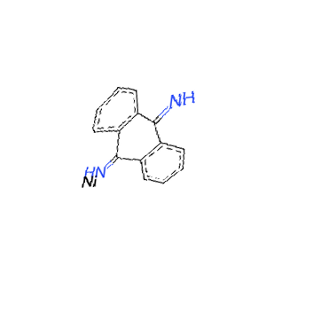 N=C1c2ccccc2C(=N)c2ccccc21.[Ni]